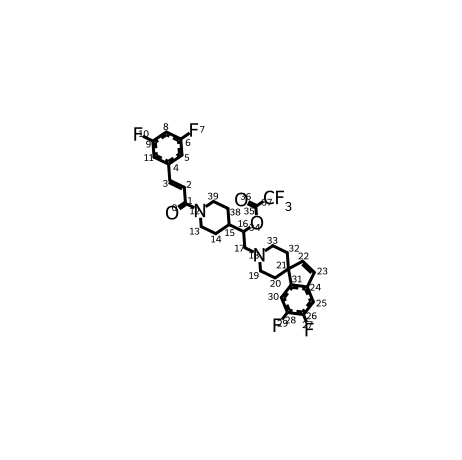 O=C(/C=C/c1cc(F)cc(F)c1)N1CCC(C(CN2CCC3(C=Cc4cc(F)c(F)cc43)CC2)OC(=O)C(F)(F)F)CC1